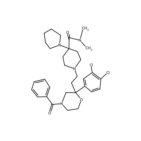 CN(C)C(=O)C1(N2CCCCC2)CCN(CCC2(c3ccc(Cl)c(Cl)c3)CN(C(=O)c3ccccc3)CCO2)CC1